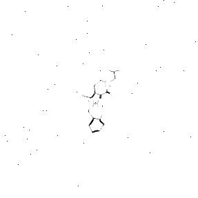 O=C1c2nn(Cc3ccccc3F)c(Cl)c2CCN1CC(F)F